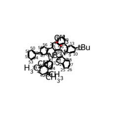 Cc1cc2c3c(c1)N(c1ccc(C(C)(C)C)cc1-c1ccccc1)c1c(sc4ccccc14)B3N(c1ccc3c(c1)C(C)(C)CCC3(C)C)c1cc(-c3ccccc3)ccc1-2